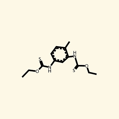 CCOC(=S)Nc1ccc(C)c(NC(=S)OCC)c1